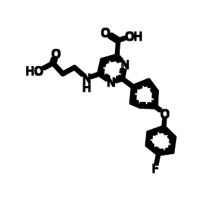 O=C(O)CCNc1cc(C(=O)O)nc(-c2ccc(Oc3ccc(F)cc3)cc2)n1